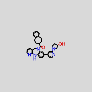 O=C(C1CCc2ccccc2CC1)N1Cc2cccnc2Nc2ccc(-c3ccnc(N4CCC(O)C4)c3)cc21